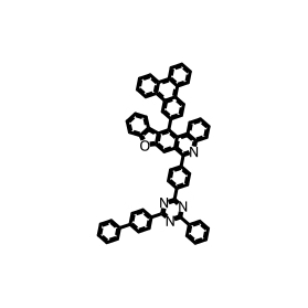 c1ccc(-c2ccc(-c3nc(-c4ccccc4)nc(-c4ccc(-c5nc6ccccc6c6c(-c7ccc8c9ccccc9c9ccccc9c8c7)c7c(cc56)oc5ccccc57)cc4)n3)cc2)cc1